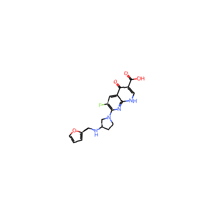 O=C(O)c1c[nH]c2nc(N3CCC(NCc4ccco4)C3)c(F)cc2c1=O